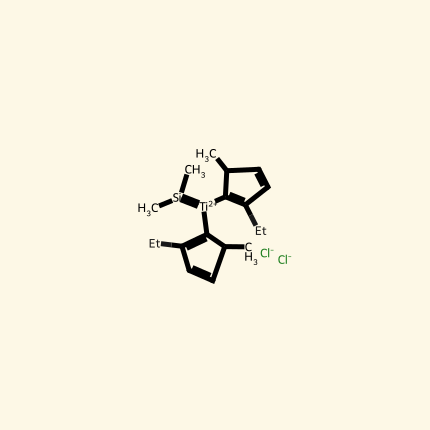 CCC1=[C]([Ti+2]([C]2=C(CC)C=CC2C)=[Si](C)C)C(C)C=C1.[Cl-].[Cl-]